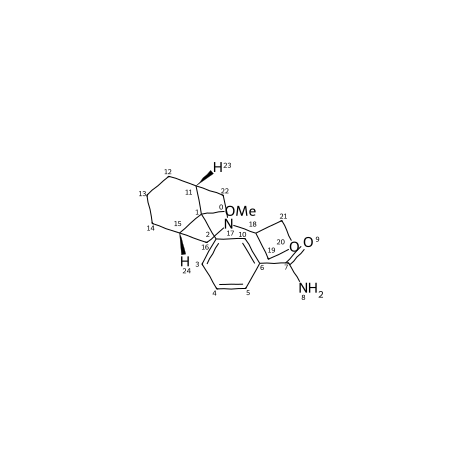 COC1(c2cccc(C(N)=O)c2)[C@@H]2CCC[C@H]1CN(C1COC1)C2